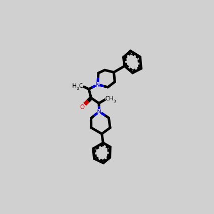 CC(C(=O)C(C)N1CCC(c2ccccc2)CC1)N1CCC(c2ccccc2)CC1